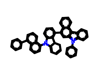 C1=CCC2C(=C1)N(c1cccc3c(-c4ccccc4)cccc13)c1cccc(-c3cc4c(c5ccccc35)c3ccccc3n4-c3ccccc3)c12